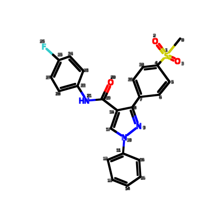 CS(=O)(=O)c1ccc(-c2nn(-c3ccccc3)cc2C(=O)Nc2ccc(F)cc2)cc1